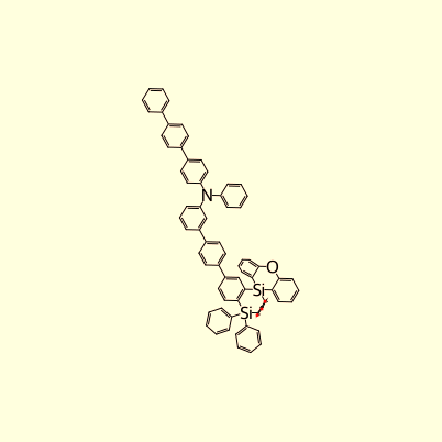 c1ccc(-c2ccc(-c3ccc(N(c4ccccc4)c4cccc(-c5ccc(-c6ccc7c(c6)[Si]6(c8ccccc8Oc8ccccc86)c6ccccc6[Si]7(c6ccccc6)c6ccccc6)cc5)c4)cc3)cc2)cc1